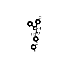 O=C(Nc1ccc(Oc2cccc(F)c2)cc1)N1CC(c2ccccc2)=C(c2ccc(Cl)cc2)N1